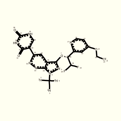 [2H]C([2H])([2H])n1nc(O[C@H](c2cc(OCC(F)(F)F)ccn2)C(F)F)c2cc(-c3c[nH]c(=O)[nH]c3=O)nnc21